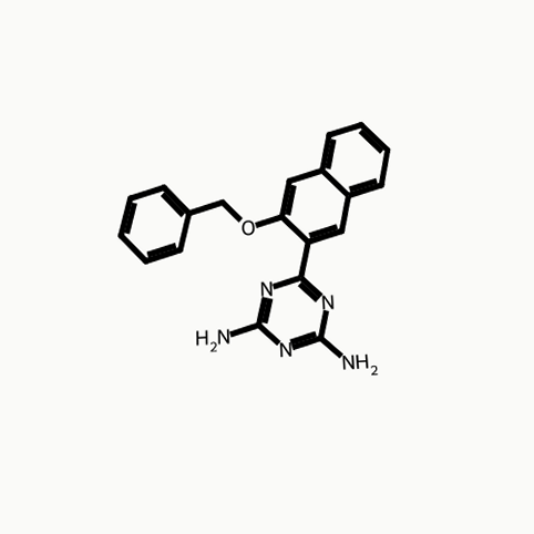 Nc1nc(N)nc(-c2cc3ccccc3cc2OCc2ccccc2)n1